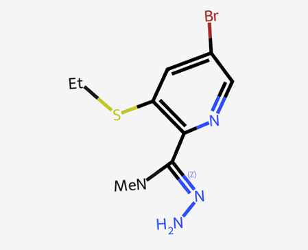 CCSc1cc(Br)cnc1/C(=N/N)NC